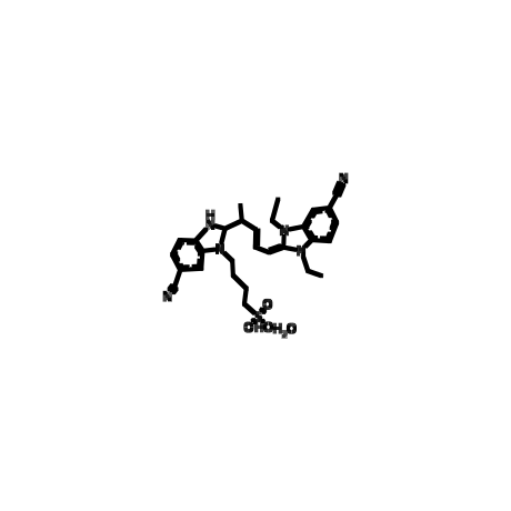 CCN1/C(=C/C=C/C(C)C2Nc3ccc(C#N)cc3N2CCCCS(=O)(=O)O)N(CC)c2cc(C#N)ccc21.O